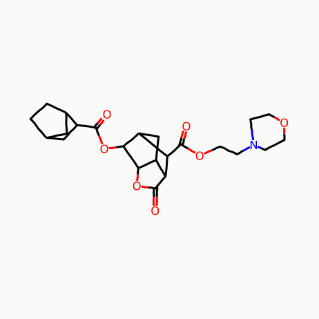 O=C(OC1C2CC3C1OC(=O)C3C2C(=O)OCCN1CCOCC1)C1CC2CCC1C2